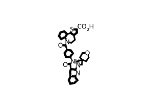 O=C(O)c1cc2c(s1)-c1ccccc1N(C(=O)c1ccc(NC(=O)c3cc4ccccc4nc3N3CC4(CCOCC4)C3)cc1)CC2